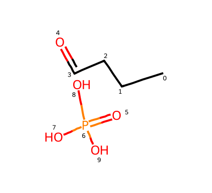 CCCC=O.O=P(O)(O)O